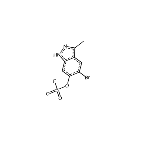 Cc1n[nH]c2cc(OS(=O)(=O)F)c(Br)cc12